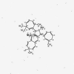 CC/C(C)=C1\C=CC(C)(I)C=C\C1=C\C1=C(N)N(C2=CC(C)(C)C=CC=C2C)C(N)N1C1=CC=CCC(C)=C1